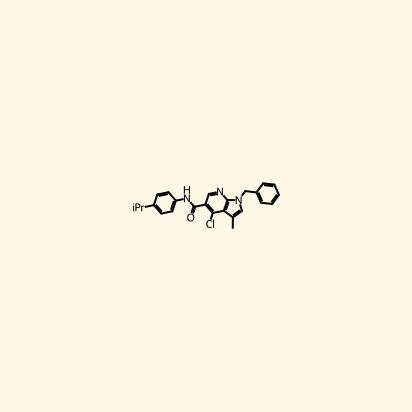 Cc1cn(Cc2ccccc2)c2ncc(C(=O)Nc3ccc(C(C)C)cc3)c(Cl)c12